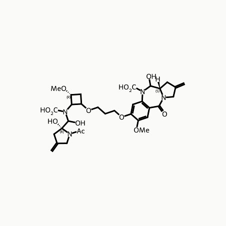 C=C1C[C@H]2C(O)N(C(=O)O)c3cc(OCCCOC4C[C@@H](OC)C4N(C(=O)O)C(O)[C@]4(O)CC(=C)CN4C(C)=O)c(OC)cc3C(=O)N2C1